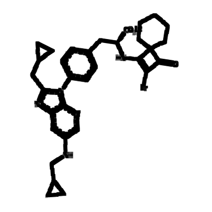 CCOC(=O)[C@H](Cc1ccc(-n2c(CC3CC3)nc3cc(NCC4CC4)cnc32)cc1)NC1=C(Br)C(=O)C12CCCCC2